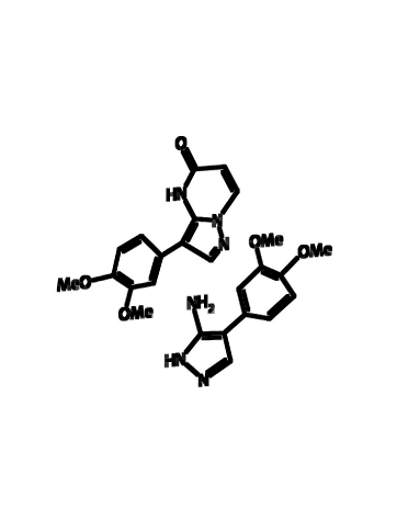 COc1ccc(-c2cn[nH]c2N)cc1OC.COc1ccc(-c2cnn3ccc(=O)[nH]c23)cc1OC